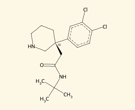 CC(C)(C)NC(=O)C[C@]1(c2ccc(Cl)c(Cl)c2)CCCNC1